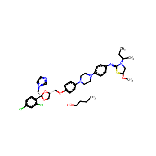 CCC(C)N1CC(OC)SC1=Nc1ccc(N2CCN(c3ccc(OC[C@@H]4CO[C@@](Cn5ccnc5)(c5ccc(Cl)cc5Cl)O4)cc3)CC2)cc1.CCCCO